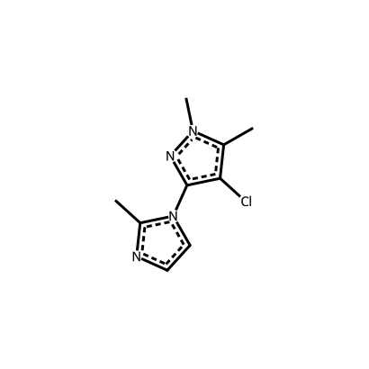 Cc1nccn1-c1nn(C)c(C)c1Cl